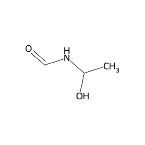 CC(O)NC=O